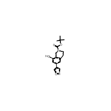 CC(C)(C)OC(=O)N1CCc2cc(-c3cnoc3)cc(O)c2C1